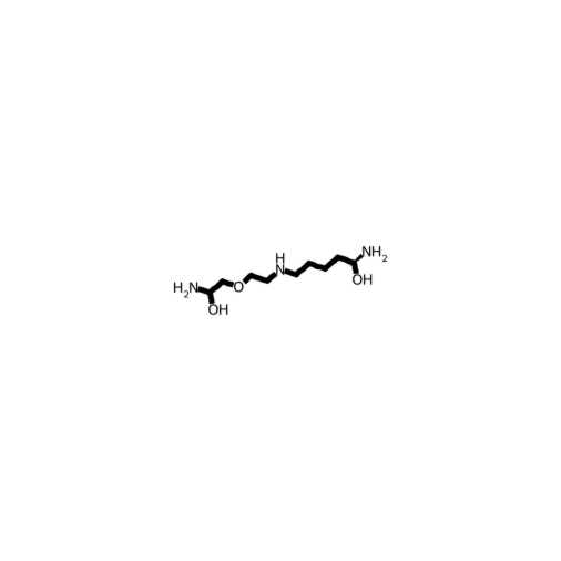 NC(O)COCCNCCCC[C@@H](N)O